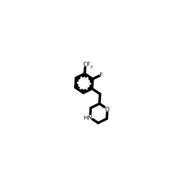 Fc1c(CC2CNCCO2)cccc1C(F)(F)F